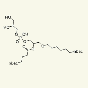 CCCCCCCCCCCCCCCCOC[C@H](COP(=O)(O)OC[C@@H](O)CO)OC(=O)CCCCCCCCCCCCC